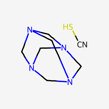 C1N2CN3CN1CN(C2)C3.N#CS